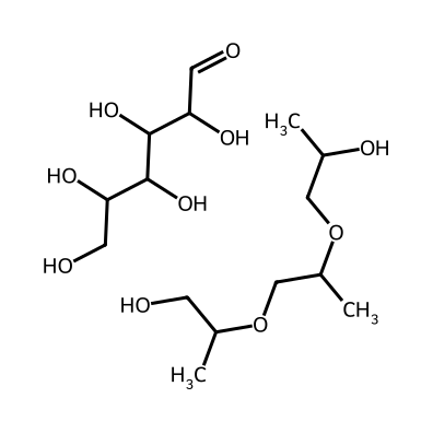 CC(O)COC(C)COC(C)CO.O=CC(O)C(O)C(O)C(O)CO